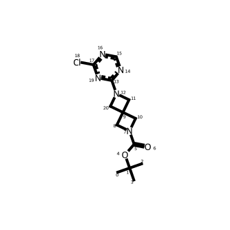 CC(C)(C)OC(=O)N1CC2(C1)CN(c1ncnc(Cl)n1)C2